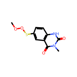 COOSc1ccc2[nH]c(=O)n(C)c(=O)c2c1